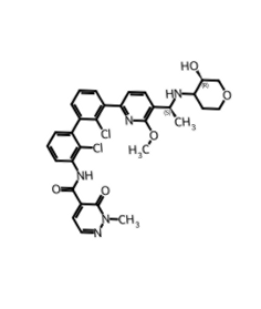 COc1nc(-c2cccc(-c3cccc(NC(=O)c4ccnn(C)c4=O)c3Cl)c2Cl)ccc1[C@H](C)NC1CCOC[C@@H]1O